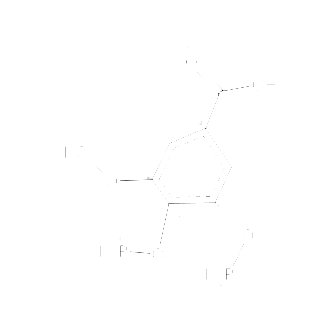 COc1cc(C(=O)O)cc(OP)c1OP